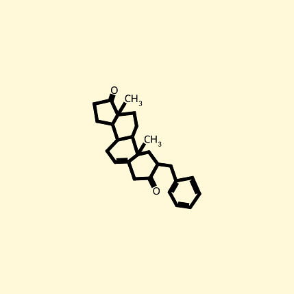 CC12CCC3C(CC=C4CC(=O)C(Cc5ccccc5)CC43C)C1CCC2=O